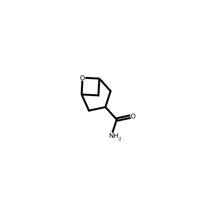 NC(=O)C1CC2CC(C1)O2